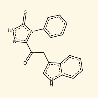 O=C(Cc1c[nH]c2ccccc12)c1n[nH]c(=S)n1-c1ccccc1